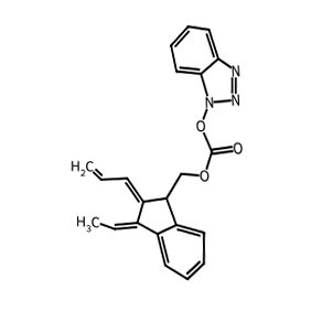 C=C/C=C1\C(=C/C)c2ccccc2C1COC(=O)On1nnc2ccccc21